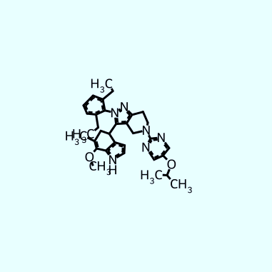 CCc1cccc(CC)c1-n1nc2c(c1C1CC(C)=C(OC)c3[nH]ccc31)CN(c1ncc(OC(C)C)cn1)CC2